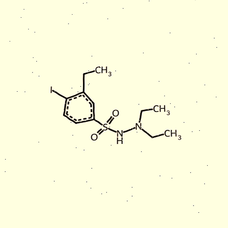 CCc1cc(S(=O)(=O)NN(CC)CC)ccc1I